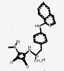 CCN(C)c1c(N[C@@H](Cc2ccc(Nc3nccc4ccccc34)cc2)C(=O)O)c(=O)c1=O